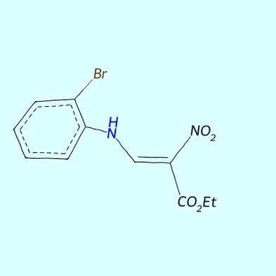 CCOC(=O)C(=CNc1ccccc1Br)[N+](=O)[O-]